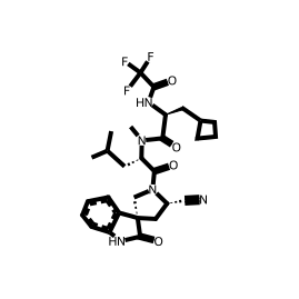 CC(C)C[C@@H](C(=O)N1C[C@]2(C[C@H]1C#N)C(=O)Nc1ccccc12)N(C)C(=O)[C@H](CC1CCC1)NC(=O)C(F)(F)F